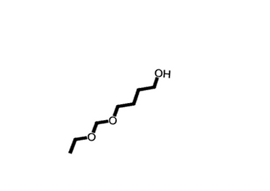 CCOCOCCCCO